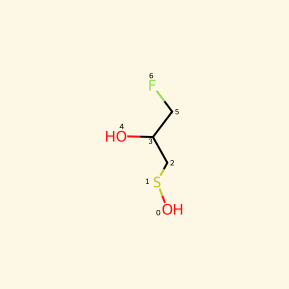 OSCC(O)CF